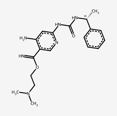 C[C@@H](NC(=O)Nc1cc(N)c(C(=N)OCCN(C)C)cn1)c1ccccc1